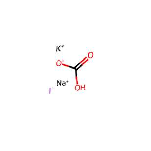 O=C([O-])O.[I-].[K+].[Na+]